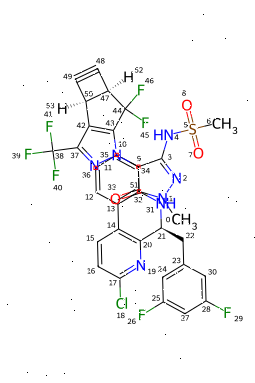 Cn1nc(NS(C)(=O)=O)c2cccc(-c3ccc(Cl)nc3[C@H](Cc3cc(F)cc(F)c3)NC(=O)Cn3nc(C(F)(F)F)c4c3C(F)(F)[C@@H]3C#C[C@H]43)c21